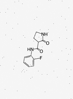 O=C1NCCC1C(=O)Nc1ccccc1F